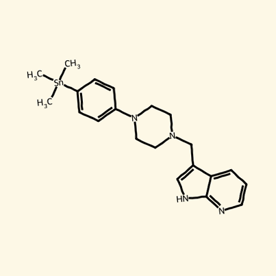 [CH3][Sn]([CH3])([CH3])[c]1ccc(N2CCN(Cc3c[nH]c4ncccc34)CC2)cc1